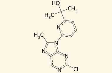 Cc1nc2cnc(Cl)nc2n1-c1cccc(C(C)(C)O)n1